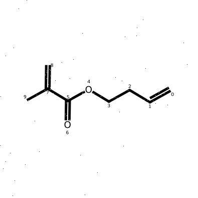 C=CCCOC(=O)C(=C)C